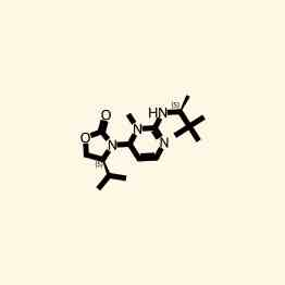 CC(C)[C@H]1COC(=O)N1C1C=CN=C(N[C@@H](C)C(C)(C)C)N1C